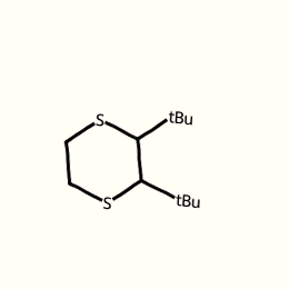 CC(C)(C)C1SCCSC1C(C)(C)C